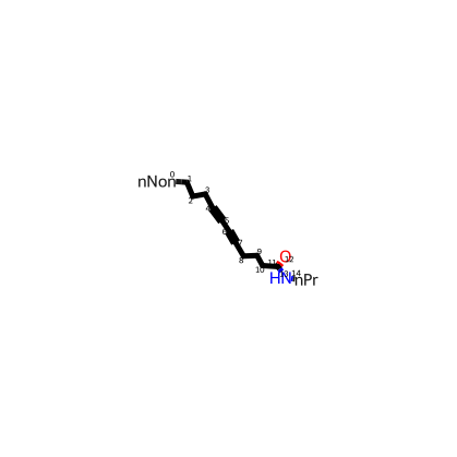 CCCCCCCCCCCCC#CC#CCCCC(=O)NCCC